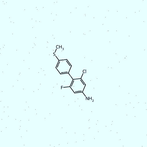 CSc1ccc(-c2c(F)cc(N)cc2Cl)cc1